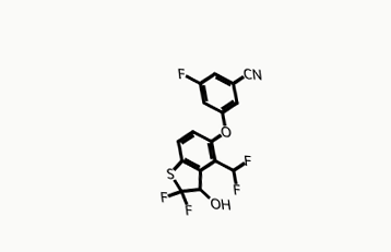 N#Cc1cc(F)cc(Oc2ccc3c(c2C(F)F)C(O)C(F)(F)S3)c1